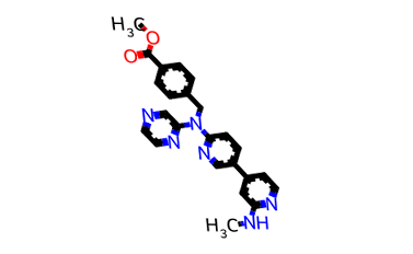 CNc1cc(-c2ccc(N(Cc3ccc(C(=O)OC)cc3)c3cnccn3)nc2)ccn1